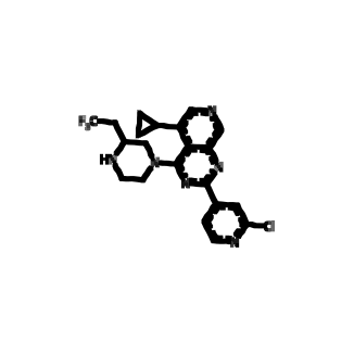 FC(F)(F)CC1CN(c2nc(-c3ccnc(Cl)c3)nc3cncc(C4CC4)c23)CCN1